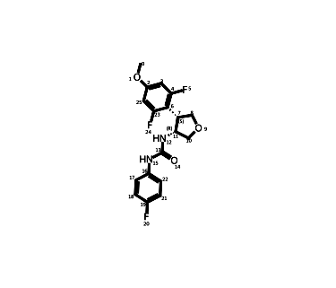 COc1cc(F)c([C@@H]2COC[C@@H]2NC(=O)Nc2ccc(F)cc2)c(F)c1